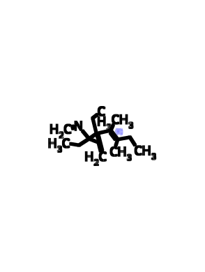 C=NC1(CC)C(=C)C1(CC)/C(C)=C(\C)CC